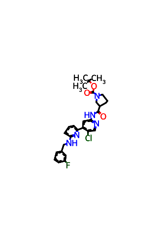 CC(C)(C)OC(=O)N1CCCC(C(=O)Nc2cc(-c3cccc(NCc4cccc(F)c4)n3)c(Cl)cn2)C1